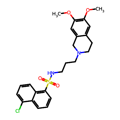 COc1cc2c(cc1OC)CN(CCCNS(=O)(=O)c1cccc3c(Cl)cccc13)CC2